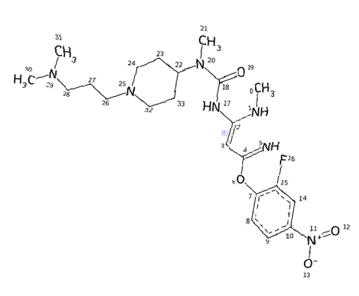 CN/C(=C\C(=N)Oc1ccc([N+](=O)[O-])cc1F)NC(=O)N(C)C1CCN(CCCN(C)C)CC1